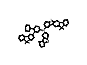 CC1(C)c2ccccc2-c2cc(-c3cc(N(c4ccc5oc6cc7c(cc6c5c4)C(C)(C)c4ccccc4-7)c4ccc5sc6ccccc6c5c4)ccc3-c3ccccc3)ccc21